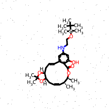 C[C@@H]1/C=C\C[C@H]2OC(C)(C)O[C@H]2C/C=C/c2cc(NCCO[Si](C)(C)C(C)(C)C)cc(O)c2C(=O)O[C@H]1C